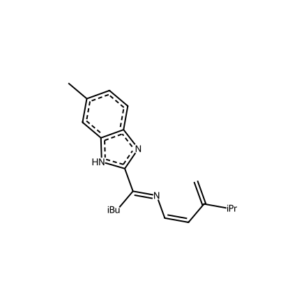 C=C(/C=C\N=C(\c1nc2ccc(C)cc2[nH]1)C(C)CC)C(C)C